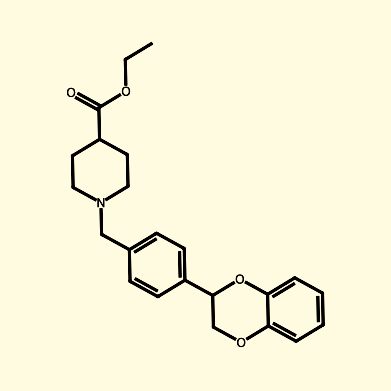 CCOC(=O)C1CCN(Cc2ccc(C3COc4ccccc4O3)cc2)CC1